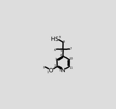 COc1cc(C(C)(C)CS)ccn1